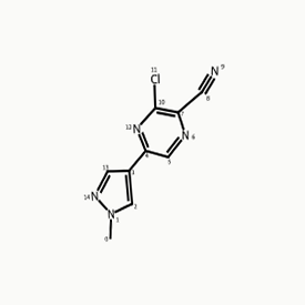 Cn1cc(-c2cnc(C#N)c(Cl)n2)cn1